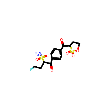 NS(=O)(=O)C(CCF)C(=O)c1ccc(C(=O)C2CCOS2(=O)=O)cc1